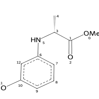 COC(=O)[C@@H](C)Nc1cccc(O)c1